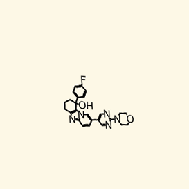 OC1(c2ccc(F)cc2)CCCc2nc3ccc(-c4cnc(N5CCOCC5)nc4)cn3c21